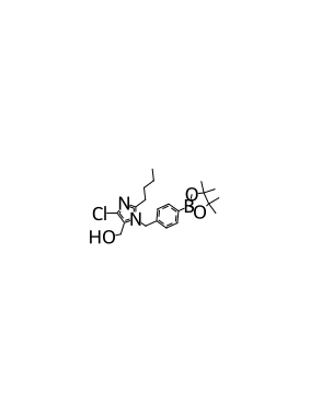 CCCCc1nc(Cl)c(CO)n1Cc1ccc(B2OC(C)(C)C(C)(C)O2)cc1